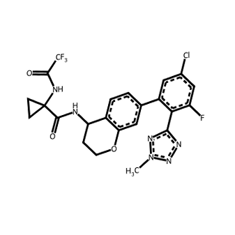 Cn1nnc(-c2c(F)cc(Cl)cc2-c2ccc3c(c2)OCCC3NC(=O)C2(NC(=O)C(F)(F)F)CC2)n1